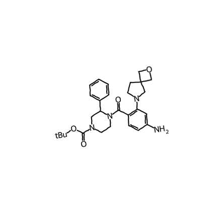 CC(C)(C)OC(=O)N1CCN(C(=O)c2ccc(N)cc2N2CCC3(COC3)C2)C(c2ccccc2)C1